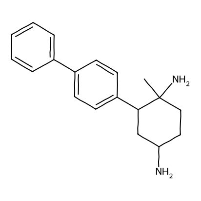 CC1(N)CCC(N)CC1c1ccc(-c2ccccc2)cc1